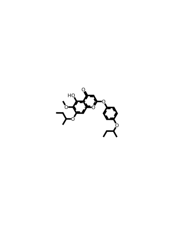 CCC(C)Oc1ccc(Oc2cc(=O)c3c(O)c(OC)c(OC(C)CC)cc3o2)cc1